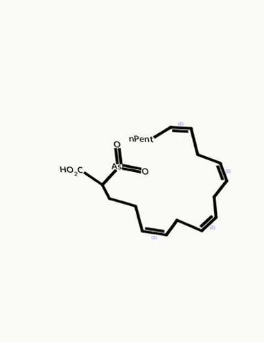 CCCCC/C=C\C/C=C\C/C=C\C/C=C\CCC(C(=O)O)[As](=O)=O